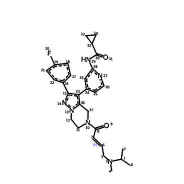 CC(C)N(C)C/C=C/C(=O)N1CCn2nc(-c3ccc(F)cc3)c(-c3ccnc(NC(=O)C4CC4)c3)c2C1